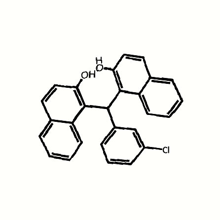 Oc1ccc2ccccc2c1C(c1cccc(Cl)c1)c1c(O)ccc2ccccc12